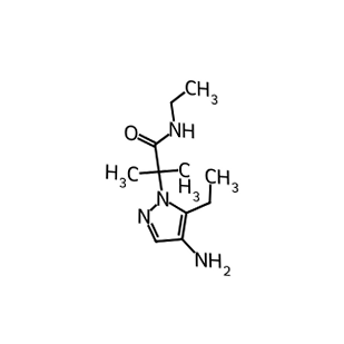 CCNC(=O)C(C)(C)n1ncc(N)c1CC